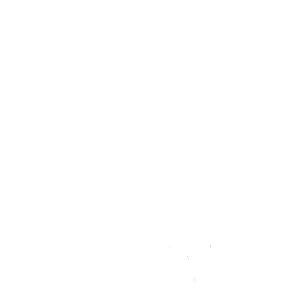 CCCCCCCCCCCCC(C)(CCC(C)C)C(=O)O